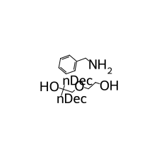 CCCCCCCCCCC(O)(CCCCCCCCCC)COCCO.NCc1ccccc1